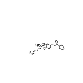 CCCCCC(O)(O)Oc1ccc(CCC(=O)c2ccccc2)cc1